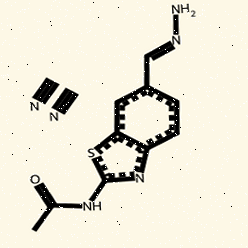 C#N.C#N.CC(=O)Nc1nc2ccc(C=NN)cc2s1